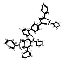 c1ccc(-c2cc(-c3ccc(-c4cccc5c4nc(-c4ccccc4)c4cc(-c6ccccc6)c6nn(-c7ccccc7)nc6c45)cc3)nc(-c3ccccc3)n2)cc1